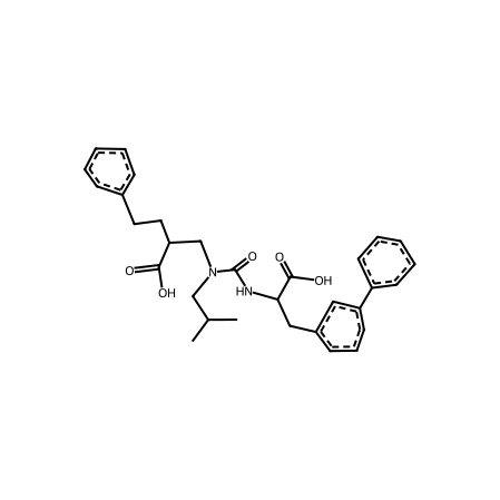 CC(C)CN(CC(CCc1ccccc1)C(=O)O)C(=O)NC(Cc1cccc(-c2ccccc2)c1)C(=O)O